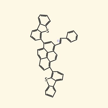 C(=C\c1cc(-c2cccc3c2sc2ccccc23)c2ccc3ccc(-c4cccc5c4sc4ccccc45)c4ccc1c2c34)/c1ccccc1